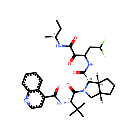 CC[C@H](C)NC(=O)C(=O)C(CC(F)F)NC(=O)[C@@H]1[C@@H]2CCC[C@@H]2CN1C(=O)[C@@H](NC(=O)c1ccnc2ccccc12)C(C)(C)C